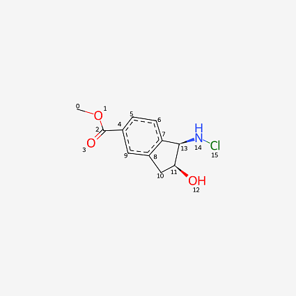 COC(=O)c1ccc2c(c1)C[C@H](O)[C@@H]2NCl